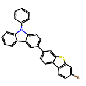 Brc1ccc2c(c1)sc1cc(-c3ccc4c(c3)c3ccccc3n4-c3ccccc3)ccc12